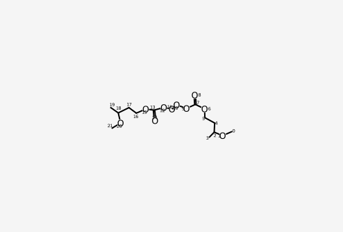 COC(C)CCOC(=O)OOOOC(=O)OCCC(C)OC